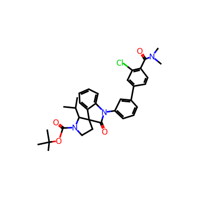 CC(C)C1N(C(=O)OC(C)(C)C)CCC12C(=O)N(c1cccc(-c3ccc(C(=O)N(C)C)c(Cl)c3)c1)c1ccccc12